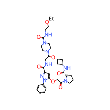 CCOCCNC(=O)N1CCN(C(=O)CNC(=O)c2cc(OCC(=O)N3CCC[C@H]3C(=O)NC3CCC3)n(-c3ccccc3)n2)CC1